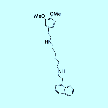 COc1ccc(CCNCCCCCCNCCc2cccc3ccccc23)cc1OC